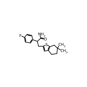 CC1(C)CCc2cc(CC(C(N)=O)c3ccc(F)cc3)sc2C1